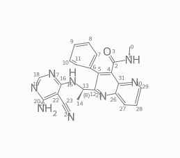 CNC(=O)c1c(-c2ccccc2)c([C@@H](C)Nc2ncnc(N)c2C#N)nc2cccnc12